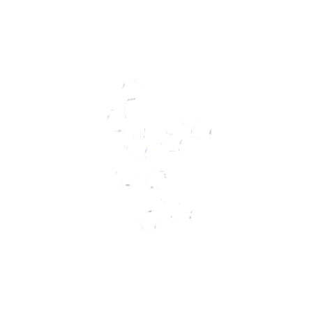 c1ccc(-c2cccc(C3N=C(c4cccc5oc6c(-n7c8ccccc8c8ccccc87)cccc6c45)N=C(c4ccc5c(c4)oc4ccccc45)N3)c2)cc1